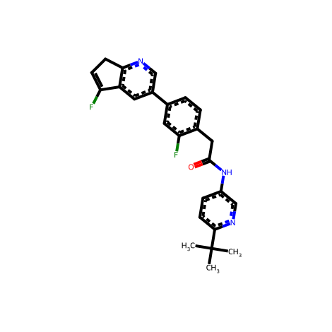 CC(C)(C)c1ccc(NC(=O)Cc2ccc(-c3cnc4c(c3)C(F)=CC4)cc2F)cn1